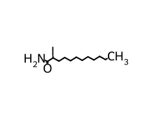 CCCCCCCCCCC(I)C(N)=O